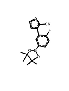 CC1(C)OB(c2ccc(F)c(-c3ccsc3C#N)c2)OC1(C)C